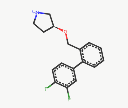 Fc1ccc(-c2ccccc2CO[C@H]2CCNC2)cc1F